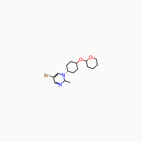 CC1N=CC(Br)=CN1[C@H]1CC[C@H](OC2CCCCO2)CC1